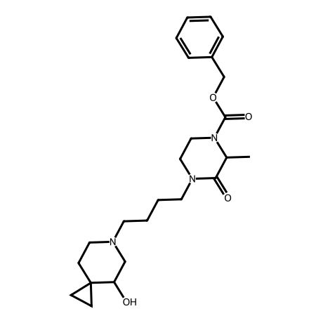 CC1C(=O)N(CCCCN2CCC3(CC3)C(O)C2)CCN1C(=O)OCc1ccccc1